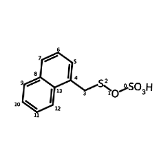 O=S(=O)(O)OSCc1cccc2ccccc12